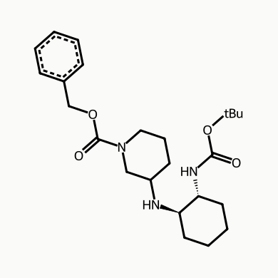 CC(C)(C)OC(=O)N[C@@H]1CCCC[C@H]1NC1CCCN(C(=O)OCc2ccccc2)C1